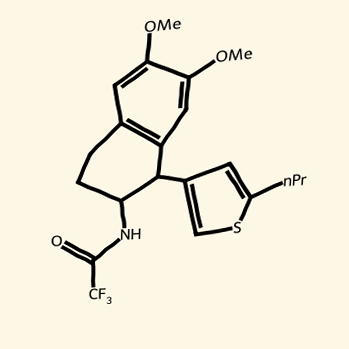 CCCc1cc(C2c3cc(OC)c(OC)cc3CCC2NC(=O)C(F)(F)F)cs1